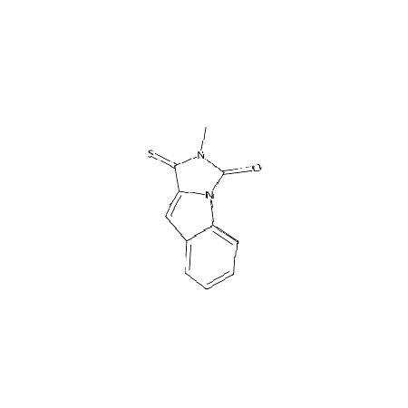 CN1C(=O)n2c(cc3ccccc32)C1=S